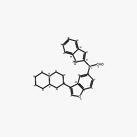 O=CN(c1ccc2occ(C3CCN4CCCCC4C3)c2c1)c1cc2ccccc2[nH]1